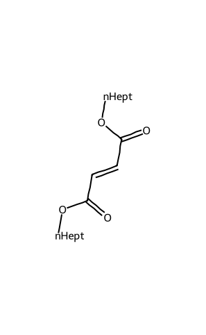 CCCCCCCOC(=O)C=CC(=O)OCCCCCCC